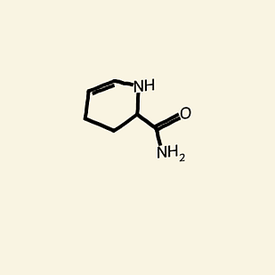 NC(=O)C1CCC=CN1